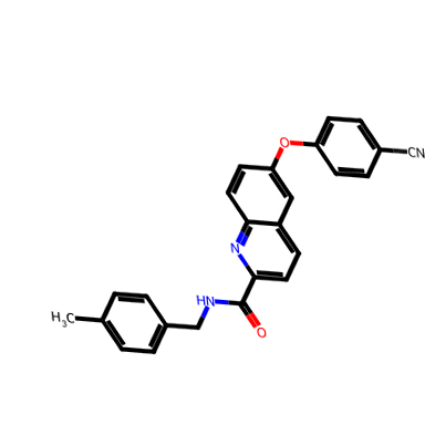 Cc1ccc(CNC(=O)c2ccc3cc(Oc4ccc(C#N)cc4)ccc3n2)cc1